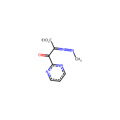 CCOC(=O)C(=[N+]=NC)C(=O)c1ncccn1